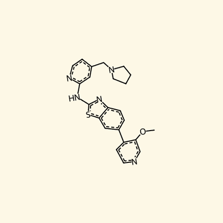 COc1cnccc1-c1ccc2nc(Nc3cc(CN4CCCC4)ccn3)sc2c1